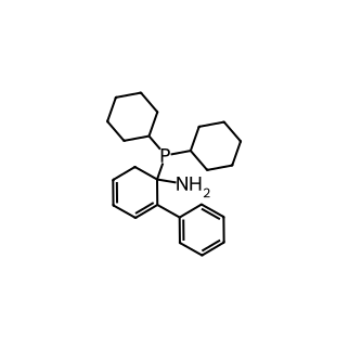 NC1(P(C2CCCCC2)C2CCCCC2)CC=CC=C1c1ccccc1